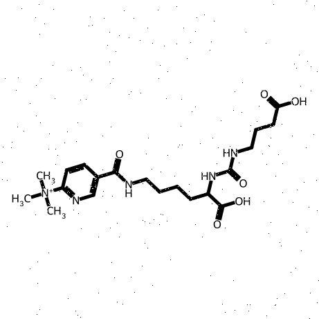 C[N+](C)(C)c1ccc(C(=O)NCCCCC(NC(=O)NCCCC(=O)O)C(=O)O)cn1